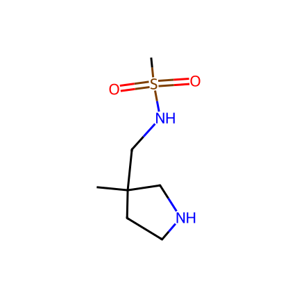 CC1(CNS(C)(=O)=O)CCNC1